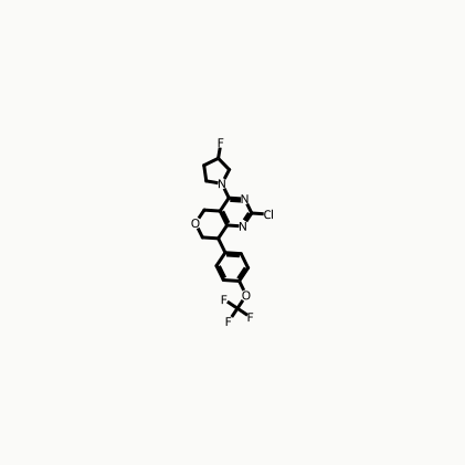 FC1CCN(c2nc(Cl)nc3c2COCC3c2ccc(OC(F)(F)F)cc2)C1